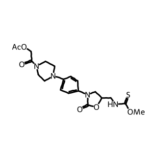 COC(=S)NCC1CN(c2ccc(N3CCN(C(=O)COC(C)=O)CC3)cc2)C(=O)O1